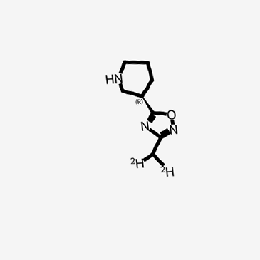 [2H]C([2H])c1noc([C@@H]2CCCNC2)n1